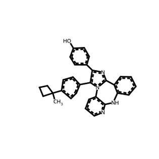 CC1(c2ccc(-c3c(-c4ccc(O)cc4)nc4n3-c3cccnc3Nc3ccccc3-4)cc2)CCC1